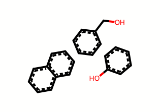 OCc1ccccc1.Oc1ccccc1.c1ccc2ccccc2c1